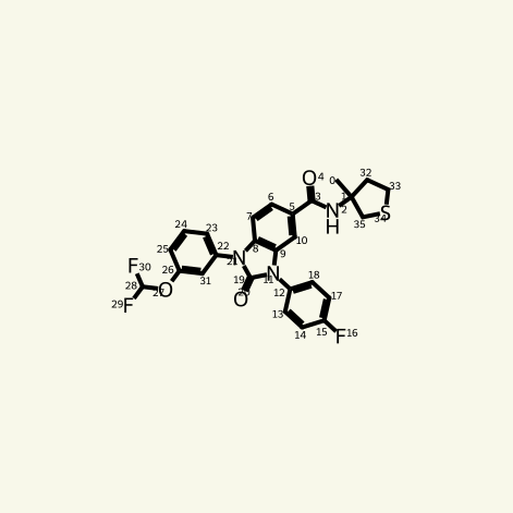 CC1(NC(=O)c2ccc3c(c2)n(-c2ccc(F)cc2)c(=O)n3-c2cccc(OC(F)F)c2)CCSC1